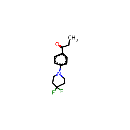 CCC(=O)c1ccc(N2CCC(F)(F)CC2)cc1